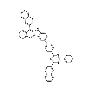 c1ccc(-c2nc(-c3ccc(-c4ccc5oc6c(-c7ccc8ccccc8c7)c7ccccc7cc6c5c4)cc3)nc(-c3ccc4ccccc4c3)n2)cc1